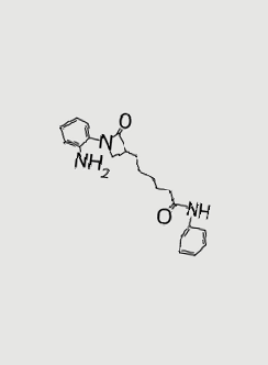 Nc1ccccc1N1CC(CCCCCC(=O)Nc2ccccc2)C1=O